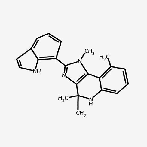 Cc1cccc2c1-c1c(nc(-c3cccc4cc[nH]c34)n1C)C(C)(C)N2